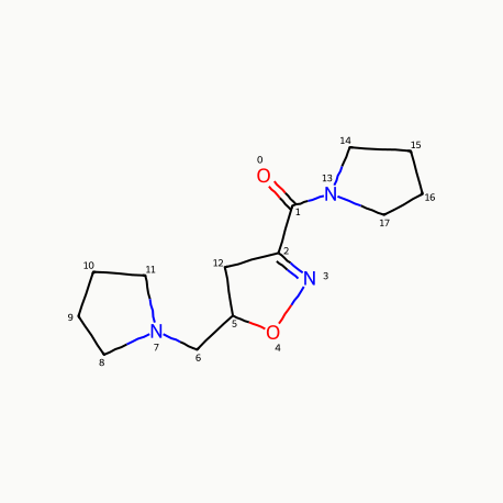 O=C(C1=NOC(CN2CCCC2)C1)N1CCCC1